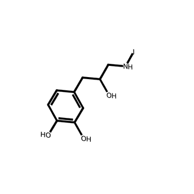 Oc1ccc(CC(O)CNI)cc1O